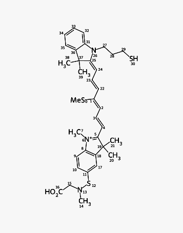 CSC(=C\C=C\C1=[N+](C)c2ccc(SN(C)CC(=O)O)cc2C1(C)C)/C=C/C=C1/N(CCCS)c2ccccc2C1(C)C